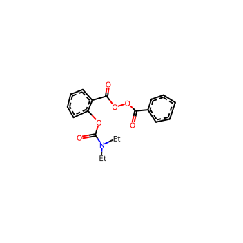 CCN(CC)C(=O)Oc1ccccc1C(=O)OOC(=O)c1ccccc1